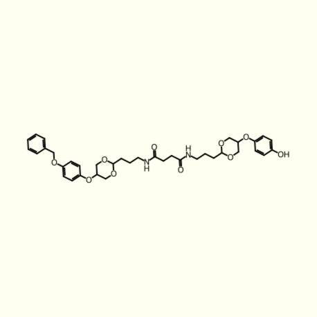 O=C(CCC(=O)NCCCC1OCC(Oc2ccc(OCc3ccccc3)cc2)CO1)NCCCC1OCC(Oc2ccc(O)cc2)CO1